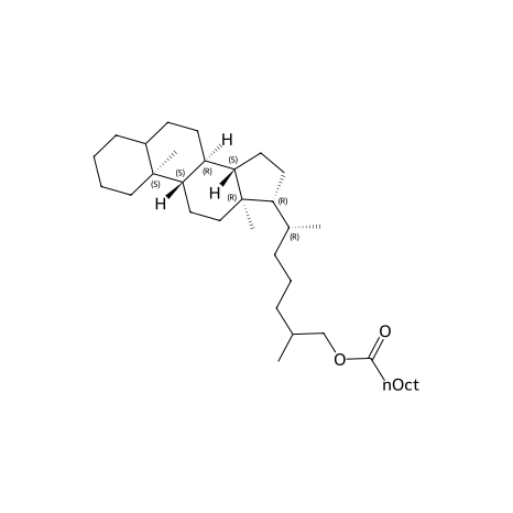 CCCCCCCCC(=O)OCC(C)CCC[C@@H](C)[C@H]1CC[C@H]2[C@@H]3CCC4CCCC[C@]4(C)[C@H]3CC[C@]12C